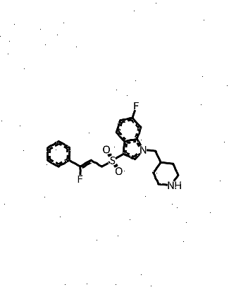 O=S(=O)(CC=C(F)c1ccccc1)c1cn(CC2CCNCC2)c2cc(F)ccc12